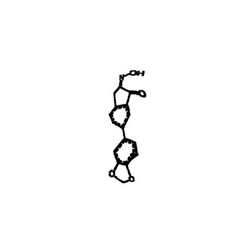 O=C1/C(=N\O)Cc2ccc(-c3ccc4c(c3)OCO4)cc21